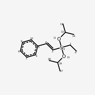 CC[Si](C=Cc1ccccc1)(OC(C)C)OC(C)C